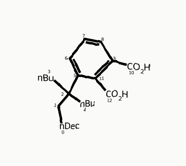 CCCCCCCCCCCC(CCCC)(CCCC)c1cccc(C(=O)O)c1C(=O)O